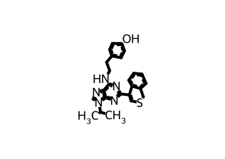 CC(C)n1cnc2c(NCCc3ccc(O)cc3)nc(C3=CSCc4ccccc43)nc21